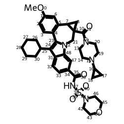 COc1ccc2c(c1)C1CC1(C(=O)N1CCN(C3CC3)CC1)Cn1c-2c(C2CCCCC2)c2ccc(C(=O)NS(=O)(=O)N3CCOCC3)cc21